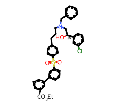 CCOC(=O)c1cccc(-c2cccc(S(=O)(=O)c3ccc(CCCN(Cc4ccccc4)C[C@H](O)c4cccc(Cl)c4)cc3)c2)c1